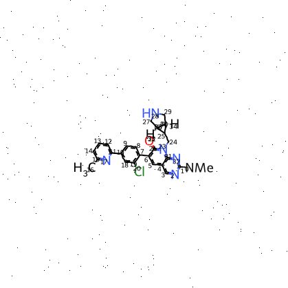 CNc1ncc2cc(-c3ccc(-c4cccc(C)n4)cc3Cl)c(=O)n(CC3[C@H]4CNC[C@@H]34)c2n1